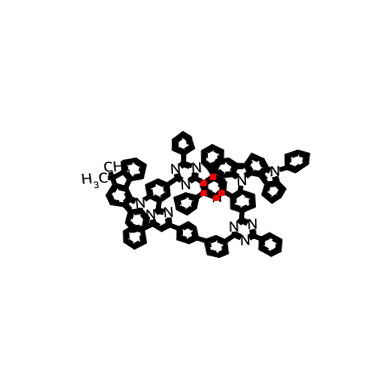 CC1(C)c2ccccc2-c2c1ccc1c3ccccc3n(-c3ccc(-c4nc(-c5ccccc5)nc(-c5ccccc5)n4)cc3-c3nc(-c4ccccc4)cc(-c4ccc(-c5cccc(-c6nc(-c7ccccc7)nc(-c7ccc(-n8c9ccccc9c9ccc%10c(c%11ccccc%11n%10-c%10ccccc%10)c98)c(-c8cc(-c9ccccc9)nc(-c9ccccc9)n8)c7)n6)c5)cc4)n3)c21